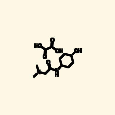 CN(C)CC(=O)N[C@H]1CC[C@H](O)CC1.O=C(O)C(=O)O